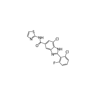 O=C(Nc1nccs1)c1cc(Cl)c2[nH]c(-c3c(F)cccc3Cl)nc2c1